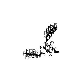 C=CCn1c(=O)n(C/C=C/C(F)(F)C(F)(F)C(F)(F)C(F)(F)F)c(=O)n(C/C=C/C(F)(F)C(F)(F)C(F)(F)C(F)(F)F)c1=O